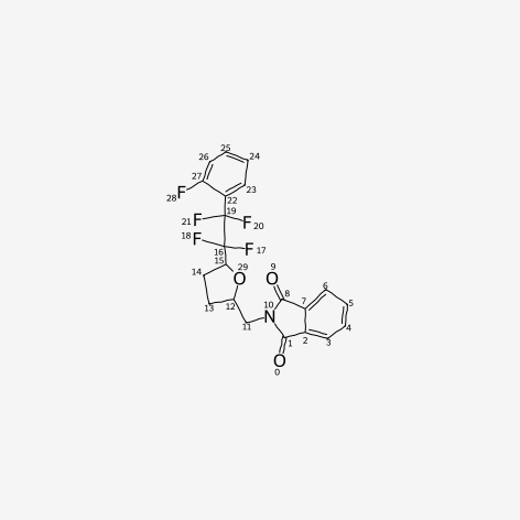 O=C1c2ccccc2C(=O)N1CC1CCC(C(F)(F)C(F)(F)c2ccccc2F)O1